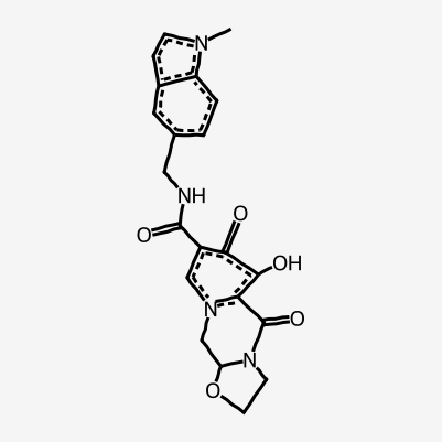 Cn1ccc2cc(CNC(=O)c3cn4c(c(O)c3=O)C(=O)N3CCOC3C4)ccc21